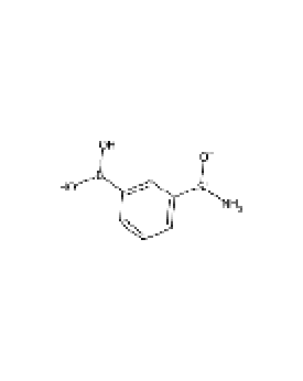 N[S+]([O-])c1cccc(B(O)O)c1